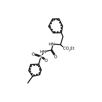 CCOC(=O)C(Cc1ccccc1)NC(=O)NS(=O)(=O)c1ccc(C)cc1